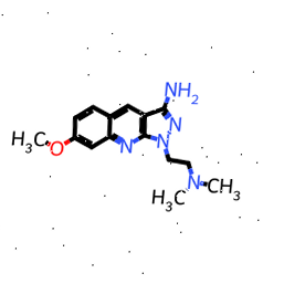 COc1ccc2cc3c(N)nn(CCN(C)C)c3nc2c1